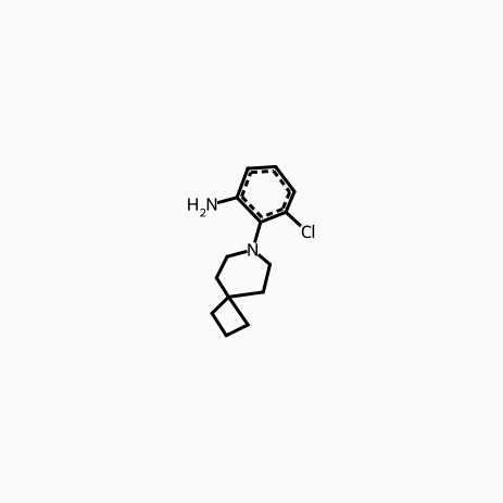 Nc1cccc(Cl)c1N1CCC2(CCC2)CC1